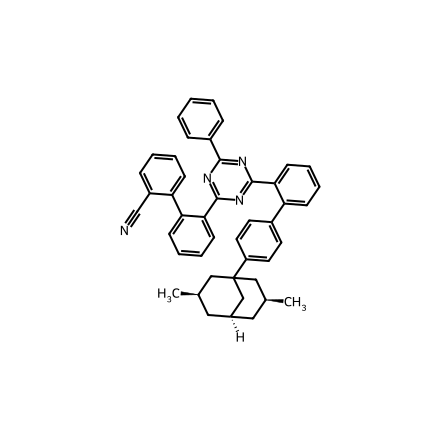 C[C@@H]1C[C@@H]2C[C@H](C)CC(c3ccc(-c4ccccc4-c4nc(-c5ccccc5)nc(-c5ccccc5-c5ccccc5C#N)n4)cc3)(C1)C2